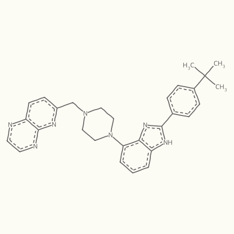 CC(C)(C)c1ccc(-c2nc3c(N4CCN(Cc5ccc6nccnc6n5)CC4)cccc3[nH]2)cc1